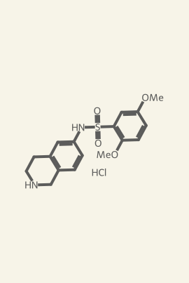 COc1ccc(OC)c(S(=O)(=O)Nc2ccc3c(c2)CCNC3)c1.Cl